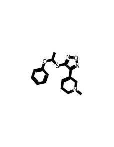 CC(Oc1ccccc1)Sc1nonc1C1=CCCN(C)C1